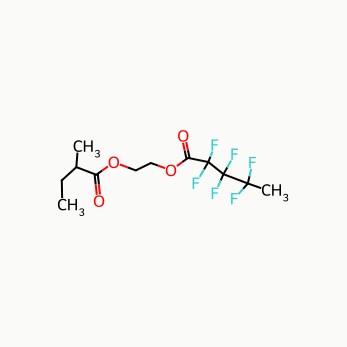 CCC(C)C(=O)OCCOC(=O)C(F)(F)C(F)(F)C(C)(F)F